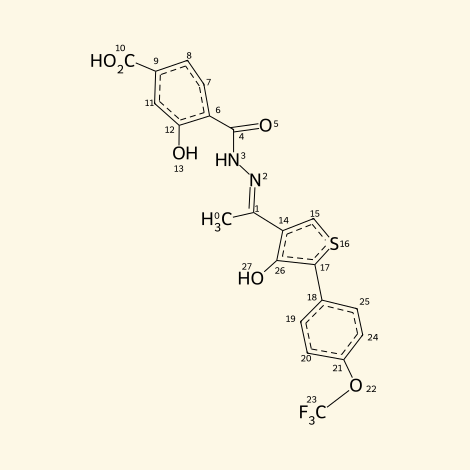 C/C(=N\NC(=O)c1ccc(C(=O)O)cc1O)c1csc(-c2ccc(OC(F)(F)F)cc2)c1O